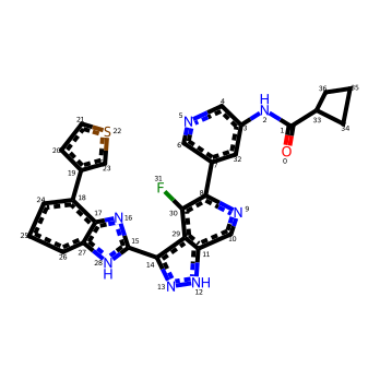 O=C(Nc1cncc(-c2ncc3[nH]nc(-c4nc5c(-c6ccsc6)cccc5[nH]4)c3c2F)c1)C1CCC1